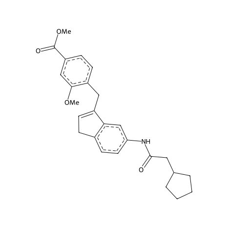 COC(=O)c1ccc(CC2=CCc3ccc(NC(=O)CC4CCCC4)cc32)c(OC)c1